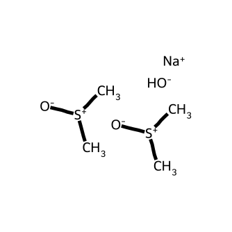 C[S+](C)[O-].C[S+](C)[O-].[Na+].[OH-]